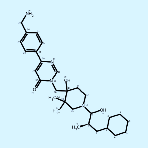 C[C@H](CC1CCCCC1)C(O)N1CCC(O)(Cn2cnc(-c3ccc(CN)cc3)cc2=O)C(C)(C)C1